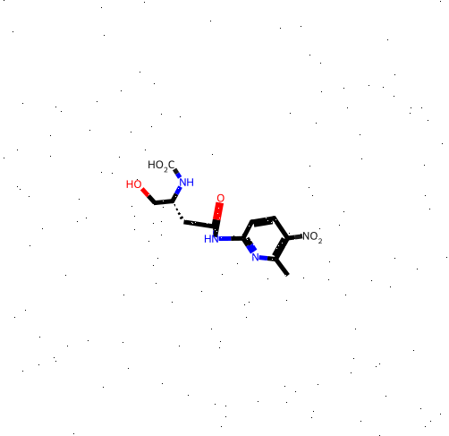 Cc1nc(NC(=O)C[C@H](CO)NC(=O)O)ccc1[N+](=O)[O-]